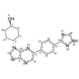 O[C@H]1CC[C@H](n2cnc3ncc(-c4ccc(-c5nc[nH]n5)cc4)nc32)CC1